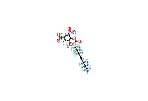 Cc1cc([N+](=O)[O-])cc([N+](=O)[O-])c1OC(=O)OC(F)(F)C(F)(F)C(F)(F)C#CC(F)(F)C(F)(F)C(F)(F)F